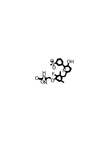 Cc1cc(OCc2noc(=O)[nH]2)c(F)c(C)c1Cc1ccc(O)c(-c2cccc(S(C)(=O)=O)c2)n1